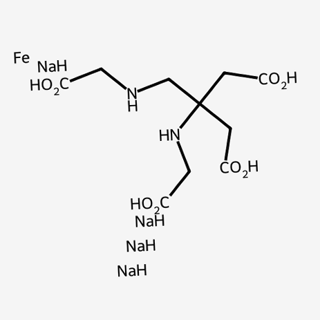 O=C(O)CNCC(CC(=O)O)(CC(=O)O)NCC(=O)O.[Fe].[NaH].[NaH].[NaH].[NaH]